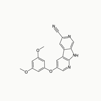 COc1cc(OC)cc(Oc2cnc3[nH]c4cnc(C#N)cc4c3c2)c1